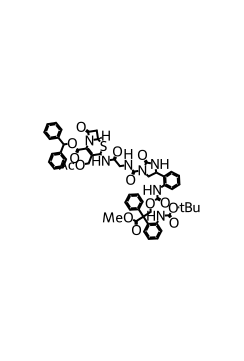 COC(=O)C(COC(=O)Nc1ccccc1C1CN(C(=O)NCC(=O)N[C@H]2S[C@H]3CC(=O)N3C(C(=O)OC(c3ccccc3)c3ccccc3)=C2COC(C)=O)C(=O)N1)(c1ccccc1)c1ccccc1NC(=O)OC(C)(C)C